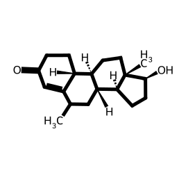 CC1C[C@@H]2[C@H](CC[C@]3(C)[C@@H](O)CC[C@@H]23)[C@H]2CCC(=O)C=C12